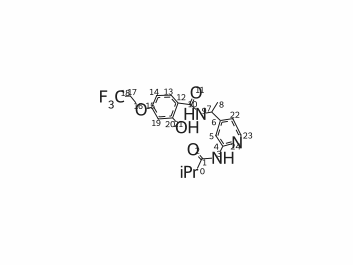 CC(C)C(=O)Nc1cc(C(C)NC(=O)c2ccc(OCC(F)(F)F)cc2O)ccn1